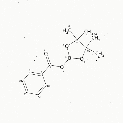 CC1(C)OB(OC(=O)c2ccccc2)OC1(C)C